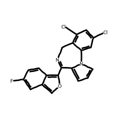 Fc1ccc2c(C3=NCc4c(Cl)cc(Cl)cc4-n4cccc43)occ2c1